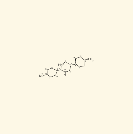 CC1CCC(C2CNC(C3CCC(C#N)CC3)NC2)CC1